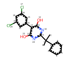 CC(C)(c1ccccc1)c1nc(O)c(-c2cc(Cl)cc(Cl)c2)c(O)n1